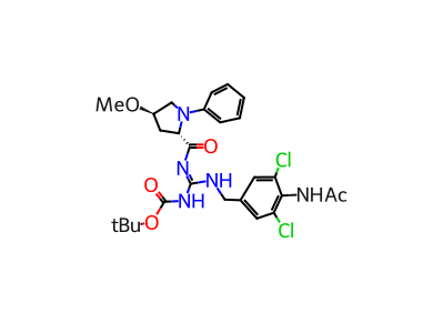 CO[C@@H]1C[C@@H](C(=O)/N=C(\NCc2cc(Cl)c(NC(C)=O)c(Cl)c2)NC(=O)OC(C)(C)C)N(c2ccccc2)C1